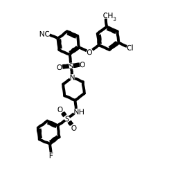 Cc1cc(Cl)cc(Oc2ccc(C#N)cc2S(=O)(=O)N2CCC(NS(=O)(=O)c3cccc(F)c3)CC2)c1